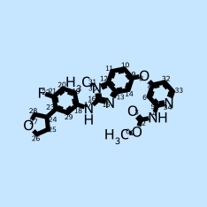 COC(=O)Nc1cc(Oc2ccc3c(c2)nc(Nc2ccc(F)c(C4CCOC4)c2)n3C)ccn1